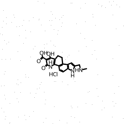 CNCc1cc2c3c(ccc2[nH]1)-c1[nH]c(=O)c(C(=O)O)c(O)c1CC3.Cl